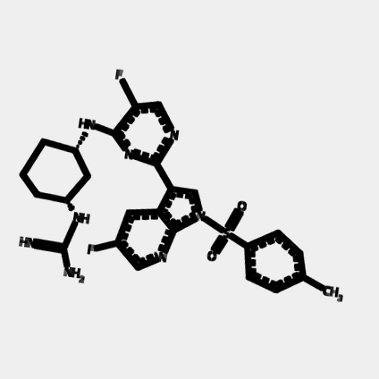 Cc1ccc(S(=O)(=O)n2cc(-c3ncc(F)c(N[C@H]4CCC[C@@H](NC(=N)N)C4)n3)c3cc(F)cnc32)cc1